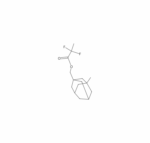 CC12CC3CC(C1)CC(COC(=O)C(C)(F)F)(C3)C2